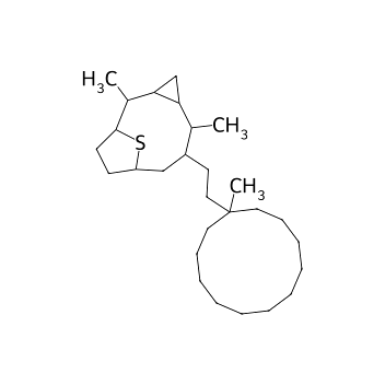 CC1C(CCC2(C)CCCCCCCCCCC2)CC2CCC(S2)C(C)C2CC12